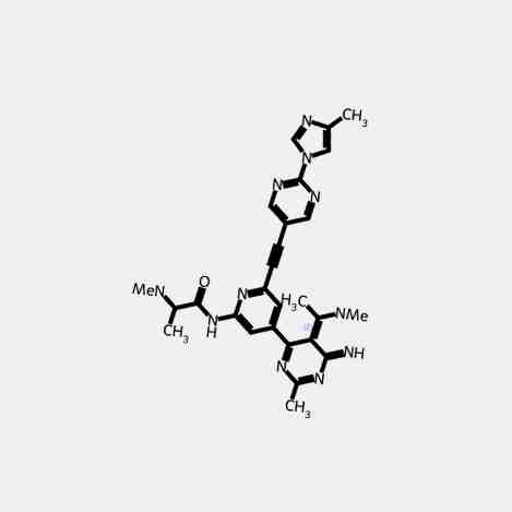 CN/C(C)=C1\C(=N)N=C(C)N=C1c1cc(C#Cc2cnc(-n3cnc(C)c3)nc2)nc(NC(=O)C(C)NC)c1